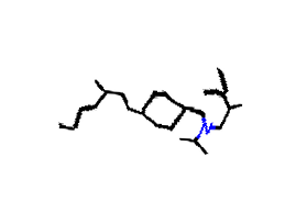 CCCCC(C)CCC1CCC(CN(CC(C)C(C)C)C(C)C)CC1